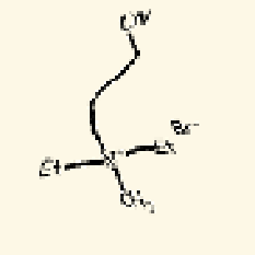 CC[N+](C)(CC)CCC#N.[Br-]